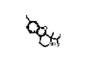 CC1(C(F)F)NCCc2c1oc1cc(I)ccc21